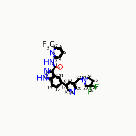 O=C(Nc1cccc(C(F)(F)F)n1)c1n[nH]c2ccc(-c3cncc(CN4CCC(F)(F)C4)c3)cc12